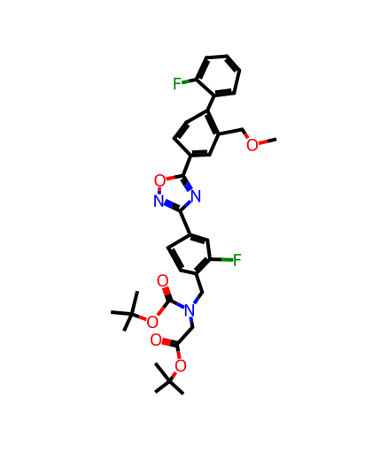 COCc1cc(-c2nc(-c3ccc(CN(CC(=O)OC(C)(C)C)C(=O)OC(C)(C)C)c(F)c3)no2)ccc1-c1ccccc1F